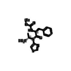 C[C@@H](C(=O)O)N(C(=O)[C@H](Cc1ccccc1)NC(=O)OC(C)(C)C)c1cscn1